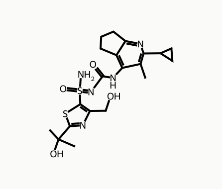 Cc1c(C2CC2)nc2c(c1NC(=O)N=S(N)(=O)c1sc(C(C)(C)O)nc1CO)CCC2